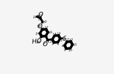 O=C(c1ccc(Sc2ccccc2)cc1)c1ccc(OCC2CO2)cc1O